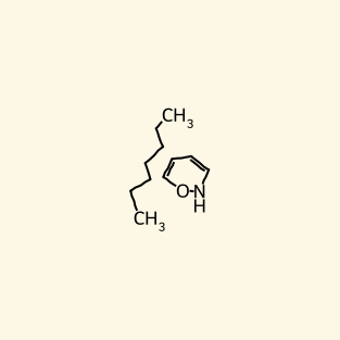 C1=CNOC=C1.CCCCCCC